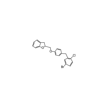 Clc1ccc(Br)cc1Cc1ccc(OCC2Cc3ccccc3O2)cc1